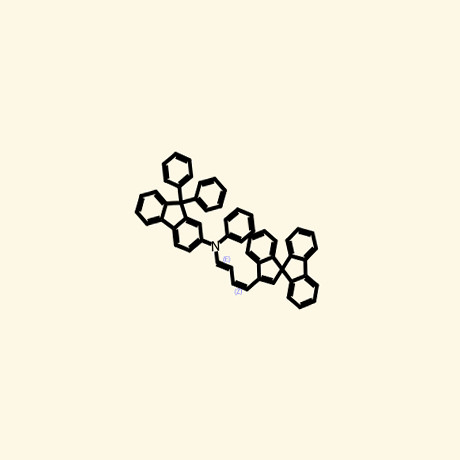 C1=C(/C=C\C=C\N(c2ccccc2)c2ccc3c(c2)C(c2ccccc2)(c2ccccc2)c2ccccc2-3)c2ccccc2C12c1ccccc1-c1ccccc12